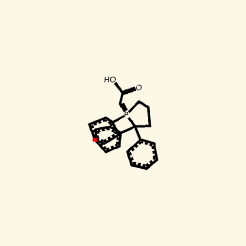 O=C(O)C=P1(c2ccccc2)CCCC1(c1ccccc1)c1ccccc1